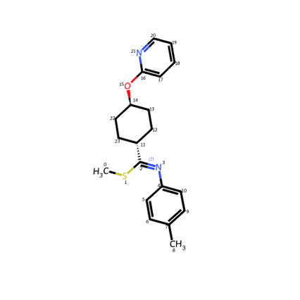 CS/C(=N\c1ccc(C)cc1)[C@H]1CC[C@H](Oc2ccccn2)CC1